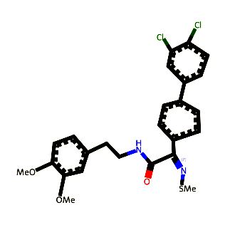 COc1ccc(CCNC(=O)/C(=N\SC)c2ccc(-c3ccc(Cl)c(Cl)c3)cc2)cc1OC